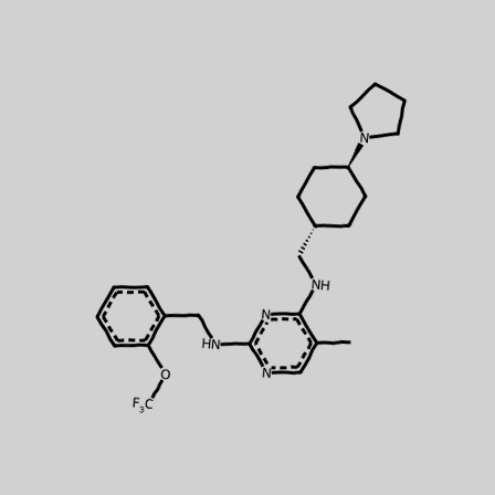 Cc1cnc(NCc2ccccc2OC(F)(F)F)nc1NC[C@H]1CC[C@H](N2CCCC2)CC1